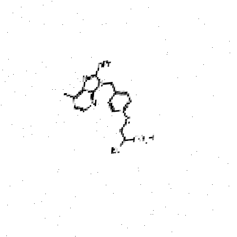 CCCc1nc2c(C)ccnc2n1Cc1ccc(OCC(CC)C(=O)O)cc1